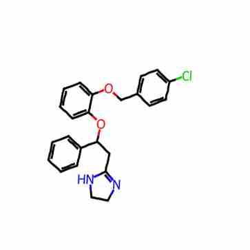 Clc1ccc(COc2ccccc2OC(CC2=NCCN2)c2ccccc2)cc1